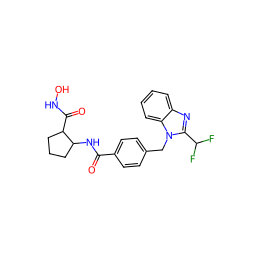 O=C(NC1CCCC1C(=O)NO)c1ccc(Cn2c(C(F)F)nc3ccccc32)cc1